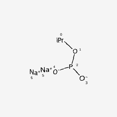 CC(C)OP([O-])[O-].[Na+].[Na+]